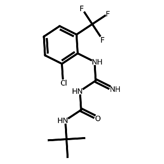 CC(C)(C)NC(=O)NC(=N)Nc1c(Cl)cccc1C(F)(F)F